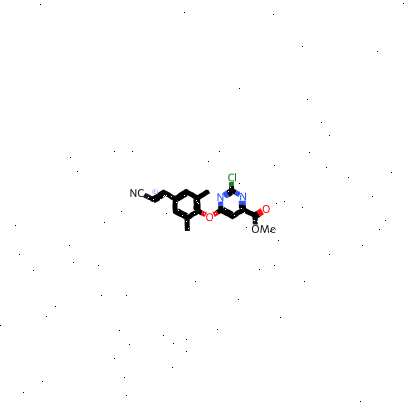 COC(=O)c1cc(Oc2c(C)cc(/C=C/C#N)cc2C)nc(Cl)n1